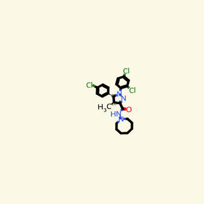 C[C@@H]1C(C(=O)NN2CCCCCCC2)=NN(c2ccc(Cl)cc2Cl)[C@H]1c1ccc(Cl)cc1